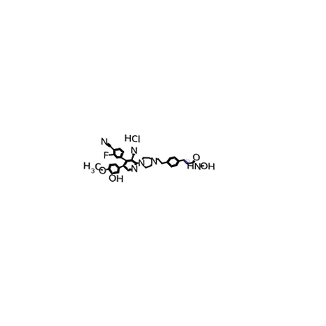 COc1ccc(-c2cnc(N3CCN(CCc4ccc(/C=C/C(=O)NO)cc4)CC3)c(C#N)c2-c2ccc(C#N)c(F)c2)cc1O.Cl